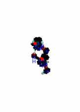 C=CC(=O)N1C[C@H](F)[C@@H](N(C)c2nc(OCC34CCCN3CC(c3ccc(Cl)c5c(-c6ncc7c(N(C)[C@@H]8CCN(C(=O)C#CC9COCCN9)C8)nc(OC[C@@]89CCCN8C[C@H](F)C9)nc7c6F)cccc35)C4)nc3c(F)c(-c4cccc5ccc(F)c(Cl)c45)ncc23)C1